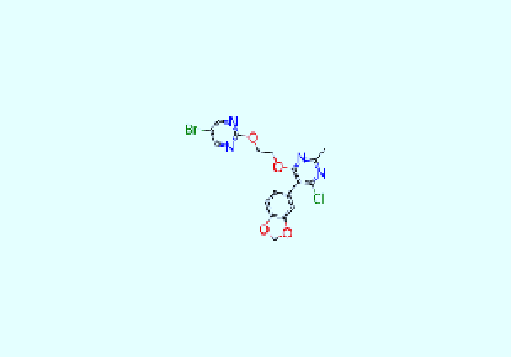 Cc1nc(Cl)c(-c2ccc3c(c2)OCO3)c(OCCOc2ncc(Br)cn2)n1